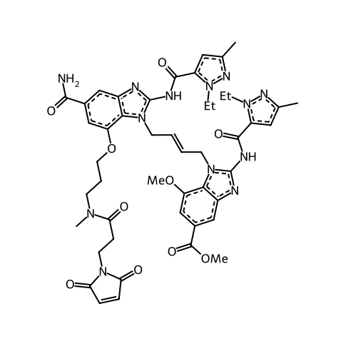 CCn1nc(C)cc1C(=O)Nc1nc2cc(C(=O)OC)cc(OC)c2n1C/C=C/Cn1c(NC(=O)c2cc(C)nn2CC)nc2cc(C(N)=O)cc(OCCCN(C)C(=O)CCN3C(=O)C=CC3=O)c21